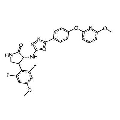 COc1cc(F)c(C2CNC(=O)[C@@H]2Nc2nnc(-c3ccc(Oc4cccc(OC)n4)cc3)o2)c(F)c1